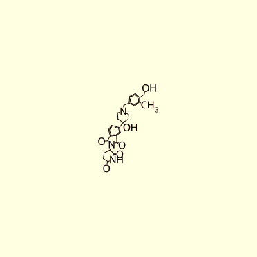 Cc1cc(CN2CCC(O)(c3ccc4c(c3)C(=O)N(C3CCC(=O)NC3=O)C4=O)CC2)ccc1CO